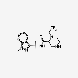 Cn1nc(C(C)(C)NC(=O)[C@@H]2CNCCN2CC(F)(F)F)c2ccccc21